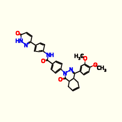 COc1ccc(C2=NN(c3ccc(C(=O)Nc4ccc(-c5ccc(=O)[nH]n5)cc4)cc3)C(=O)C3CC=CCC23)cc1OC